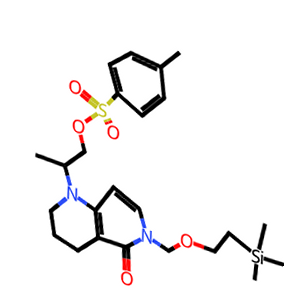 Cc1ccc(S(=O)(=O)OCC(C)N2CCCc3c2ccn(COCC[Si](C)(C)C)c3=O)cc1